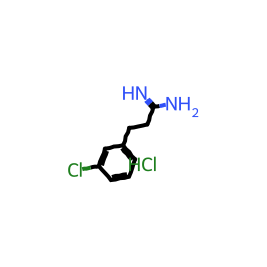 Cl.N=C(N)CCc1cccc(Cl)c1